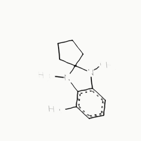 Cc1cccc2c1N(C)C1(CCCC1)N2C